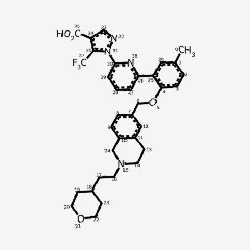 Cc1ccc(OCc2ccc3c(c2)CCN(CCC2CCOCC2)C3)c(-c2cccc(-n3ncc(C(=O)O)c3C(F)(F)F)n2)c1